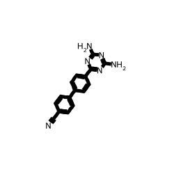 N#Cc1ccc(-c2ccc(-c3nc(N)nc(N)n3)cc2)cc1